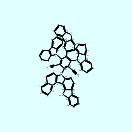 N#Cc1c(-n2c3c(c4ccccc42)C=CCC3)c(-c2ccc3oc4ccccc4c3c2)c(-n2c3ccccc3c3ccccc32)c(C#N)c1-n1c2ccc3ccccc3c2c2c3oc4ccccc4c3ccc21